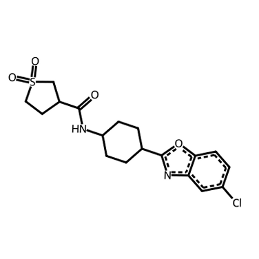 O=C(NC1CCC(c2nc3cc(Cl)ccc3o2)CC1)C1CCS(=O)(=O)C1